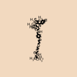 CC(=N)N1C(=N)[C@H](CC(=O)NCc2ccc(OCCCOCCOCC(=O)NCC(C)(C)C)cc2)N=C(c2ccc(Cl)cc2)c2c1sc(C)c2C